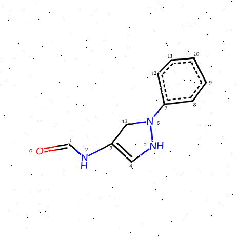 O=CNC1=CNN(c2ccccc2)C1